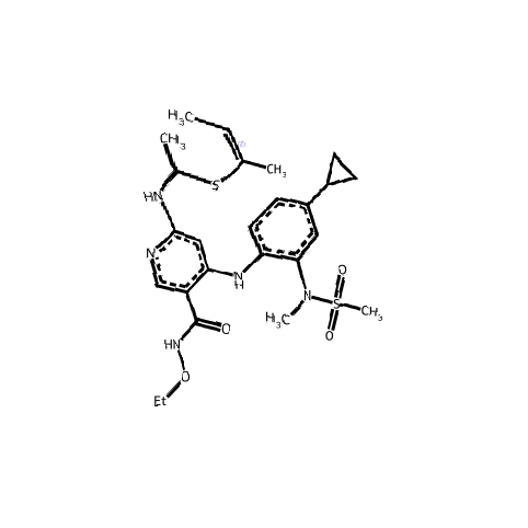 C/C=C(/C)SC(C)Nc1cc(Nc2ccc(C3CC3)cc2N(C)S(C)(=O)=O)c(C(=O)NOCC)cn1